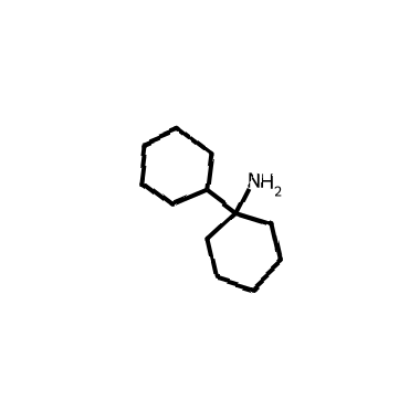 NC1(C2CCCCC2)CCCCC1